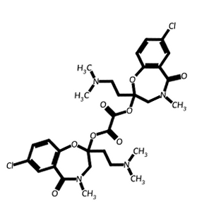 CN(C)CCC1(OC(=O)C(=O)OC2(CCN(C)C)CN(C)C(=O)c3cc(Cl)ccc3O2)CN(C)C(=O)c2cc(Cl)ccc2O1